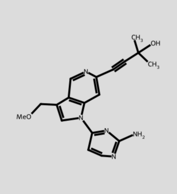 COCc1cn(-c2ccnc(N)n2)c2cc(C#CC(C)(C)O)ncc12